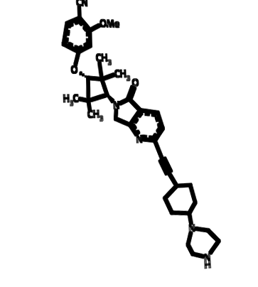 COc1cc(O[C@H]2C(C)(C)[C@H](N3Cc4nc(C#CC5CCC(N6CCNCC6)CC5)ccc4C3=O)C2(C)C)ccc1C#N